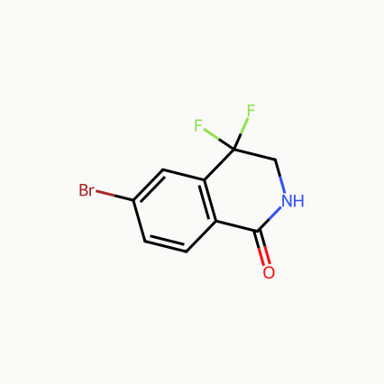 O=C1NCC(F)(F)c2cc(Br)ccc21